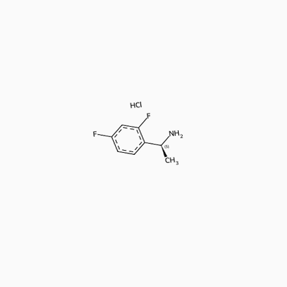 C[C@H](N)c1ccc(F)cc1F.Cl